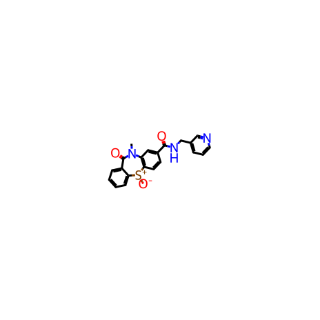 CN1C(=O)c2ccccc2[S+]([O-])c2ccc(C(=O)NCc3cccnc3)cc21